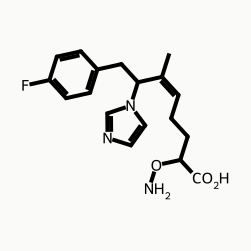 C/C(=C/CCC(ON)C(=O)O)C(Cc1ccc(F)cc1)n1ccnc1